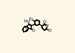 CCc1ccc(-c2ccc(Cl)nc2Cl)cc1C1=C(O)c2c(c3ccc2o3)C1=O